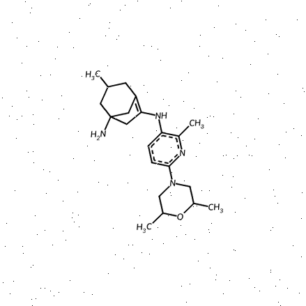 Cc1nc(N2CC(C)OC(C)C2)ccc1NC1=C2CC(C)CC(N)(C2)C1